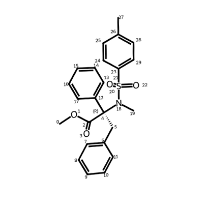 COC(=O)[C@@](Cc1ccccc1)(c1ccccc1)N(C)S(=O)(=O)c1ccc(C)cc1